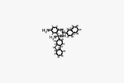 Nc1ccc2c(c1)C(N)(c1ccc3c(c1)Cc1ccccc1-3)NC(c1ccc3ccccc3c1)=N2